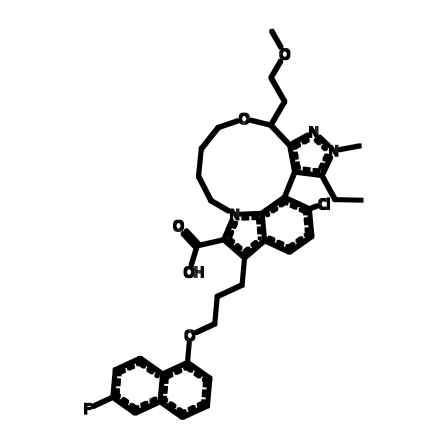 CCc1c2c(nn1C)C(CCOC)OCCCCn1c(C(=O)O)c(CCCOc3cccc4cc(F)ccc34)c3ccc(Cl)c-2c31